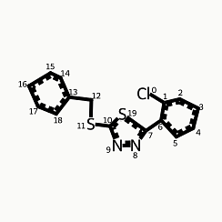 Clc1ccccc1-c1nnc(SCc2[c]cccc2)s1